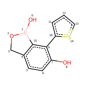 OB1OCc2ccc(O)c(-c3cccs3)c21